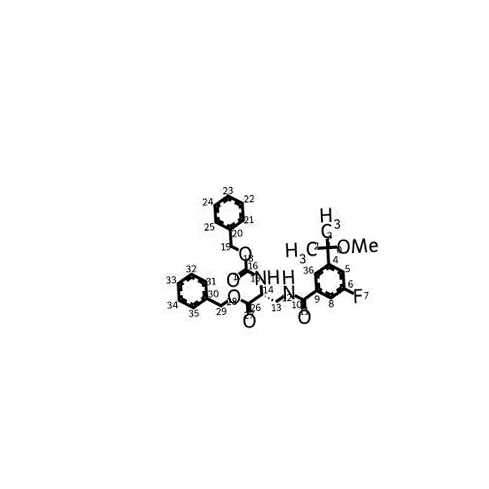 COC(C)(C)c1cc(F)cc(C(=O)NC[C@@H](NC(=O)OCc2ccccc2)C(=O)OCc2ccccc2)c1